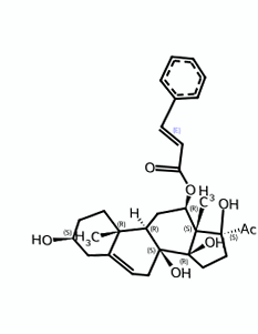 CC(=O)[C@]1(O)CC[C@@]2(O)[C@]1(C)[C@H](OC(=O)/C=C/c1ccccc1)C[C@@H]1[C@@]3(C)CC[C@H](O)CC3=CC[C@]12O